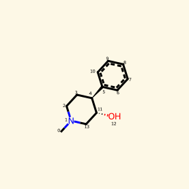 CN1CC[C@@H](c2ccccc2)[C@H](O)C1